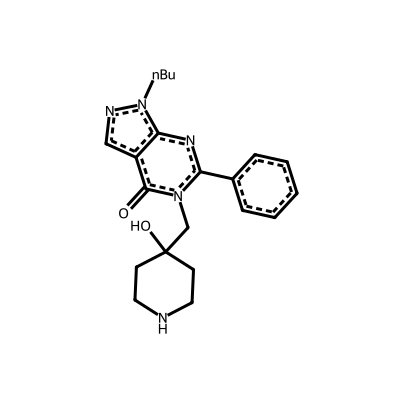 CCCCn1ncc2c(=O)n(CC3(O)CCNCC3)c(-c3ccccc3)nc21